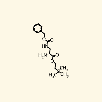 C[Si](C)(C)CCOC(=O)[C@H](N)CNC(=O)OCc1ccccc1